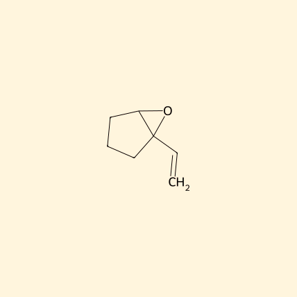 C=CC12CCCC1O2